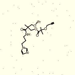 C#CCOC(C)(C)C(=O)OCC(C)(COC(C)C)C(=O)NCCCn1ccnc1